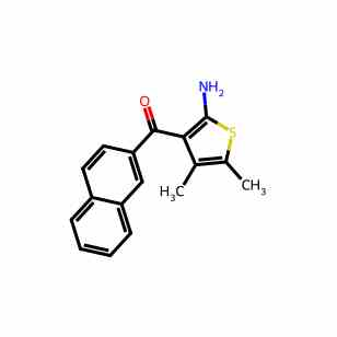 Cc1sc(N)c(C(=O)c2ccc3ccccc3c2)c1C